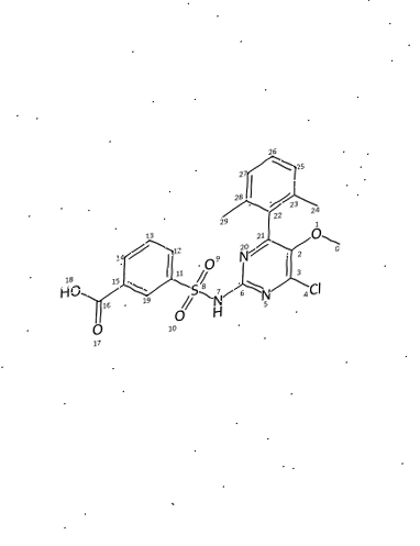 COc1c(Cl)nc(NS(=O)(=O)c2cccc(C(=O)O)c2)nc1-c1c(C)cccc1C